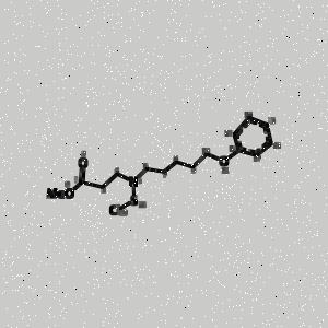 COC(=O)CCN(CCCCCOc1ccccc1)SCl